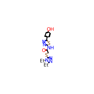 CCc1nnc(SCC(=O)Nc2nnc(-c3ccc(O)cc3)s2)n1CC